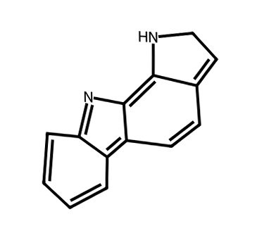 C1=c2ccc3c(c2NC1)N=c1ccccc1=3